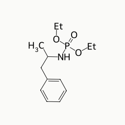 CCOP(=O)(NC(C)Cc1ccccc1)OCC